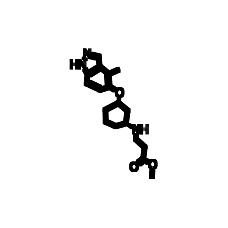 COC(=O)CCN[C@H]1CCC[C@@H](Oc2ccc3[nH]ncc3c2C)C1